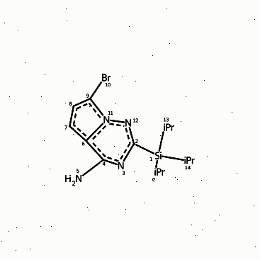 CC(C)[Si](c1nc(N)c2ccc(Br)n2n1)(C(C)C)C(C)C